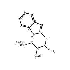 CC(Sc1nc2ccccc2s1)C(CC(=O)[O-])C(=O)[O-].[Ca+2]